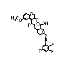 COc1ccc2ncc(F)c([C@H](F)CCC3CCN(CC#Cc4cc(F)cc(F)c4F)CC3C(=O)O)c2c1